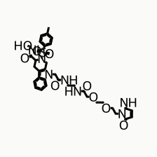 Cc1ccc(S(=O)(=O)N2Cc3c(c4ccccc4n3CC(=O)NCCNC(=O)COCCOCCN3C(=N)C=CC3=O)CC2C(=O)NO)cc1